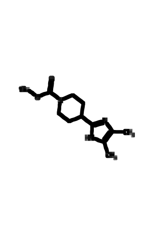 Cc1nc(C2CCN(C(=O)OC(C)(C)C)CC2)[nH]c1C